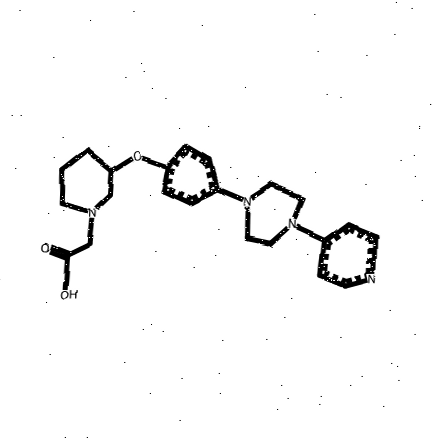 O=C(O)CN1CCCC(Oc2ccc(N3CCN(c4ccncc4)CC3)cc2)C1